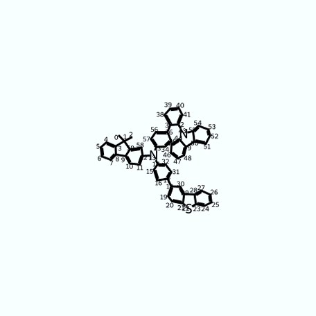 CC1(C)c2ccccc2-c2ccc(N(c3ccc(-c4ccc5sc6ccccc6c5c4)cc3)c3ccc(-c4ccccc4-n4c5ccccc5c5ccccc54)cc3)cc21